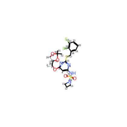 C[C@@H](Oc1cc(NS(=O)(=O)N2CCC2)nc(SCc2cccc(F)c2F)n1)[C@@H]1COC(C)(C)O1